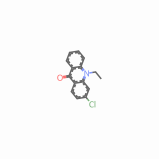 CCn1c2ccccc2c(=O)c2ccc(Cl)cc21